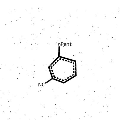 CCCC[CH]c1cccc(C#N)c1